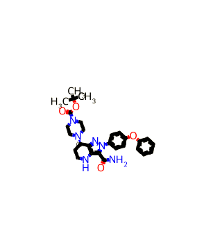 CC(C)(C)OC(=O)N1CCN([C@@H]2CCNc3c2nn(-c2ccc(Oc4ccccc4)cc2)c3C(N)=O)CC1